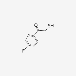 O=C(CS)c1ccc(F)cc1